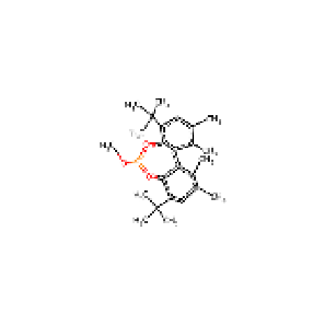 COp1oc2c(C(C)(C)C)cc(C)c(C)c2c2c(C)c(C)cc(C(C)(C)C)c2o1